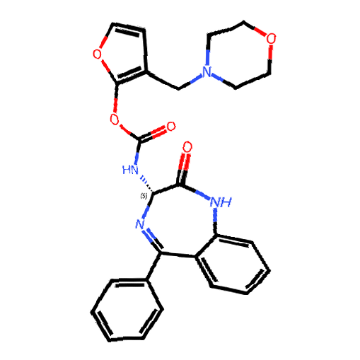 O=C(N[C@H]1N=C(c2ccccc2)c2ccccc2NC1=O)Oc1occc1CN1CCOCC1